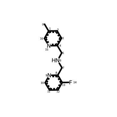 Cc1ccc(CNCc2ncccc2F)nc1